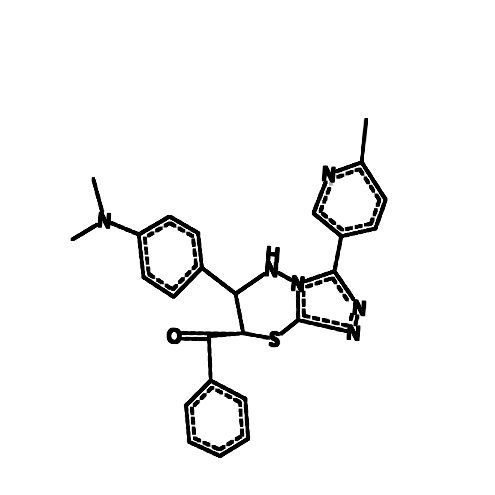 Cc1ccc(-c2nnc3n2NC(c2ccc(N(C)C)cc2)C(C(=O)c2ccccc2)S3)cn1